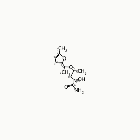 Cc1ccc(C(C)OC(C)CN(O)C(N)=O)o1